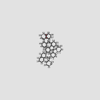 C1=CC2c3ccc(N(c4cccc5ccccc45)C4CC=CCC4)cc3C3(c4ccccc4-c4c(N(c5ccccc5)c5ccccc5C5=CCCC=C5)cccc43)C2C=C1